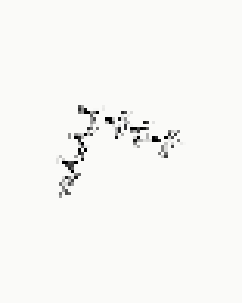 [O-]B([O-])F.[O-]B([O-])F.[O-]B([O-])F.[O-]B([O-])F.[O-]B([O-])F.[O-]B([O-])F.[Y+3].[Y+3].[Y+3].[Y+3]